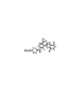 COC1CCN(C(=O)c2cnc3c(c2C)N(Cc2c(F)ccc(F)c2Cl)CCN3)CC1